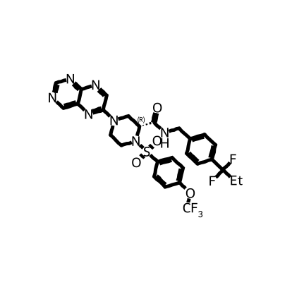 CCC(F)(F)c1ccc(CNC(=O)[C@H]2CN(c3cnc4ncncc4n3)CCN2S(=O)(=O)c2ccc(OC(F)(F)F)cc2)cc1